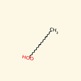 CCCCCC=CCCCCC=CCCCCCCCCC(=O)O